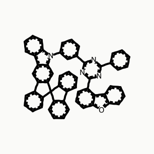 c1ccc(-c2nc(-c3cccc(-n4c5ccccc5c5cc6c(cc54)C4(c5ccccc5-c5ccccc54)c4ccccc4-6)c3)nc(-c3cccc4oc5ccccc5c34)n2)cc1